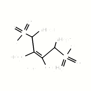 CCCCCCCC(C(C(=O)O)=C(C(=O)O)C(CCCCCCC)S(=O)(=O)[O-])S(=O)(=O)[O-].[Ca+2]